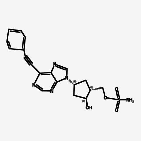 NS(=O)(=O)OC[C@H]1C[C@@H](n2cnc3c(C#Cc4ccccc4)ncnc32)C[C@@H]1O